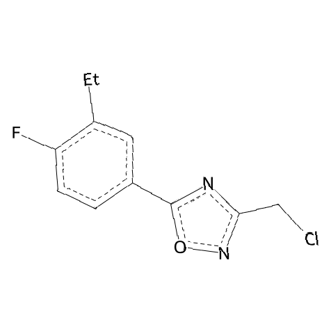 CCc1cc(-c2nc(CCl)no2)ccc1F